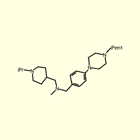 CCCC(C)N1CCN(c2ccc(CN(C)CC3CCN(C(C)C)CC3)cc2)CC1